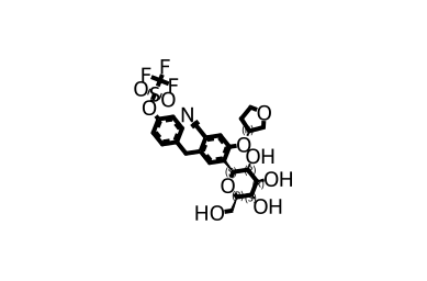 N#Cc1cc(O[C@@H]2CCOC2)c([C@@H]2O[C@H](CO)[C@@H](O)[C@H](O)[C@H]2O)cc1Cc1ccc(OS(=O)(=O)C(F)(F)F)cc1